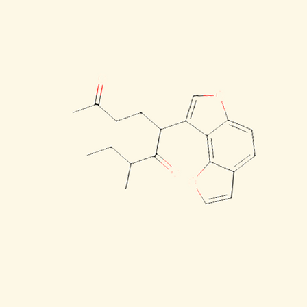 CCC(C)C(=O)C(CCC(C)=O)c1coc2ccc3ccoc3c12